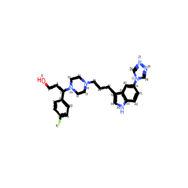 OCCC(c1ccc(F)cc1)N1CCN(CCCc2c[nH]c3ccc(-n4cnnc4)cc23)CC1